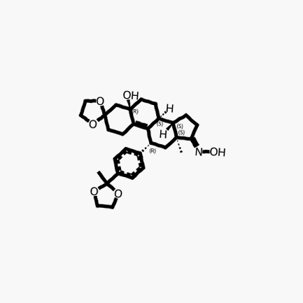 CC1(c2ccc([C@H]3C[C@]4(C)C(=NO)CC[C@H]4[C@@H]4CC[C@@]5(O)CC6(CCC5=C43)OCCO6)cc2)OCCO1